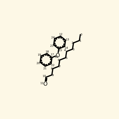 CCCCCCCCCCC=O.c1ccc(Oc2ccccc2)cc1